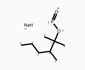 CCCC(C)C(C)(C)OP=O.[NaH]